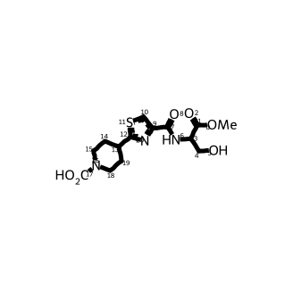 COC(=O)C(CO)NC(=O)c1csc(C2CCN(C(=O)O)CC2)n1